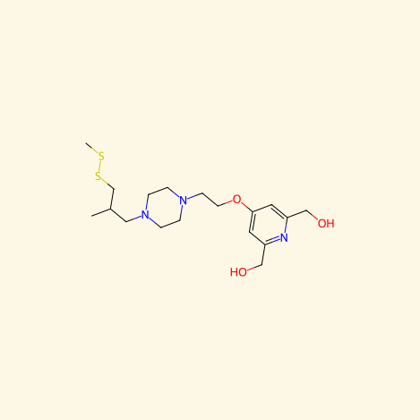 CSSCC(C)CN1CCN(CCOc2cc(CO)nc(CO)c2)CC1